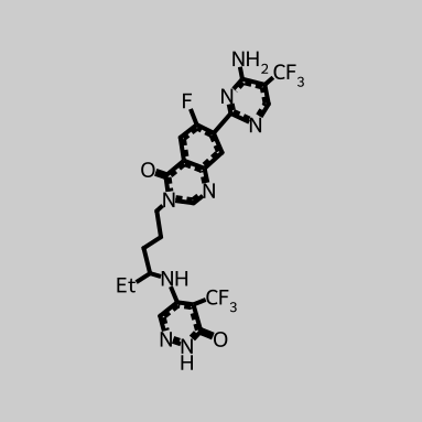 CCC(CCCn1cnc2cc(-c3ncc(C(F)(F)F)c(N)n3)c(F)cc2c1=O)Nc1cn[nH]c(=O)c1C(F)(F)F